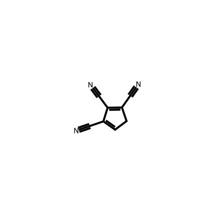 N#CC1=CCC(C#N)=C1C#N